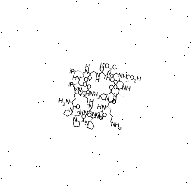 CC(C)C[C@H](NC(=O)CNC(=O)[C@H](C)NC(=O)[C@H](CC(=O)O)NC(=O)[C@H](CC(=O)O)NC(=O)[C@H](C)NC(=O)[C@@H]1CCCN1C(=O)[C@H](CCCCN)NC(=O)CNC(=O)[C@@H]1CCCN1C(=O)[C@@H]1CCCN1C(=O)[C@@H]1CCCN1C(=O)[C@@H](N)CCC(=O)O)C(=O)N[C@H](C(=O)N[C@@H](CCCNC(=N)N)C(N)=O)C(C)C